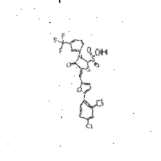 O=C1C(=Cc2ccc(-c3ccc(Cl)cc3Cl)o2)SC(S(=O)(=O)O)N1c1cccc(C(F)(F)F)c1